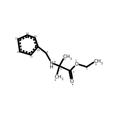 CCOC(=O)C(C)(C)NCc1ccccc1